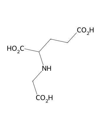 O=C(O)CCC(NCC(=O)O)C(=O)O